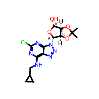 CC1(C)O[C@@H]2[C@H](O1)[C@@H](O)O[C@H]2n1nnc2c(NCC3CC3)nc(Cl)nc21